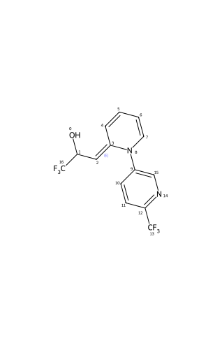 OC(/C=C1\C=CC=CN1c1ccc(C(F)(F)F)nc1)C(F)(F)F